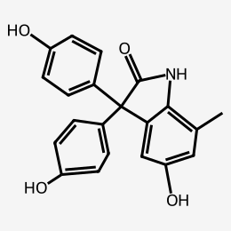 Cc1cc(O)cc2c1NC(=O)C2(c1ccc(O)cc1)c1ccc(O)cc1